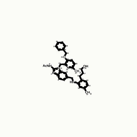 CC(=O)Nc1nc2ccc(CNc3cc(C)ccc3CCCO)cc2n1Cc1nc(C)ccc1OCc1ccccc1